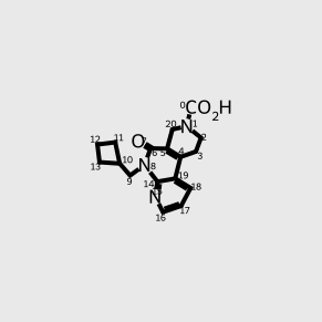 O=C(O)N1CCc2c(c(=O)n(CC3CCC3)c3ncccc23)C1